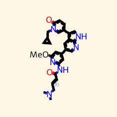 COc1cc(-c2cnc3[nH]cc(-c4ccc(=O)n(CC5CC5)c4)c3c2)cc(NC(=O)/C=C/CN(C)C)n1